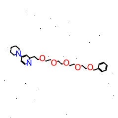 c1ccc(COCCOCCOCCOCCOCCc2cc(N3CCCCC3)ccn2)cc1